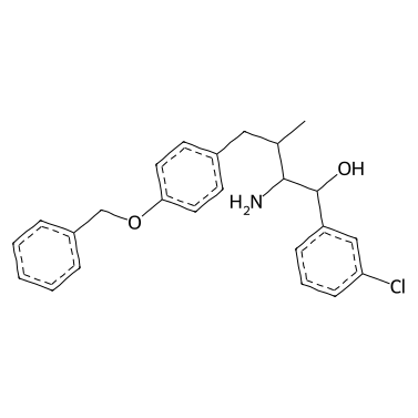 CC(Cc1ccc(OCc2ccccc2)cc1)C(N)C(O)c1cccc(Cl)c1